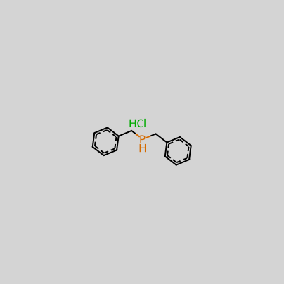 Cl.c1ccc(CPCc2ccccc2)cc1